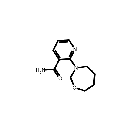 NC(=O)c1cccnc1N1CCCCOC1